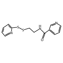 O=C(NCCSSc1ccccn1)c1cccnc1